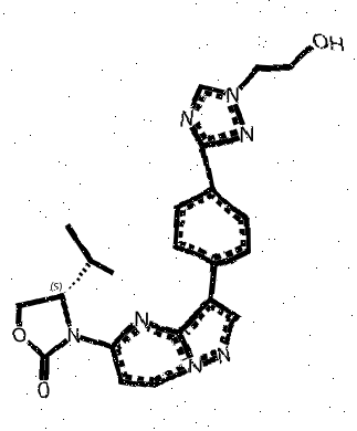 CC(C)[C@H]1COC(=O)N1c1ccn2ncc(-c3ccc(-c4ncn(CCO)n4)cc3)c2n1